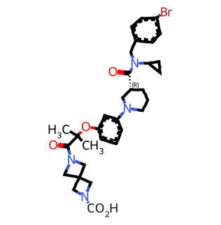 CC(C)(Oc1cccc(N2CCC[C@@H](C(=O)N(Cc3ccc(Br)cc3)C3CC3)C2)c1)C(=O)N1CC2(CN(C(=O)O)C2)C1